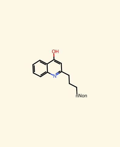 CCCCCCCCCCCCc1cc(O)c2ccccc2n1